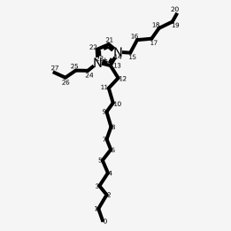 CCCCCCCCCCCCCc1n(CCCCCC)cc[n+]1CCCC